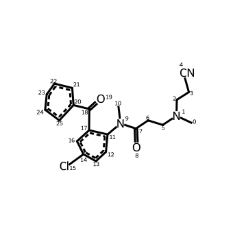 CN(CCC#N)CCC(=O)N(C)c1ccc(Cl)cc1C(=O)c1ccccc1